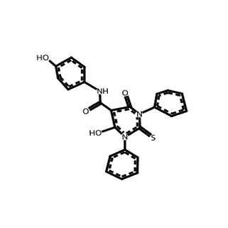 O=C(Nc1ccc(O)cc1)c1c(O)n(-c2ccccc2)c(=S)n(-c2ccccc2)c1=O